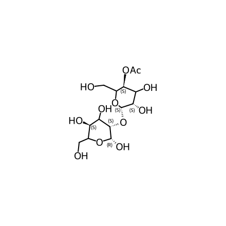 CC(=O)O[C@@H]1C(CO)O[C@@H](O[C@H]2C(O)[C@H](O)C(CO)O[C@H]2O)[C@@H](O)C1O